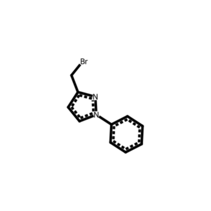 BrCc1ccn(-c2ccccc2)n1